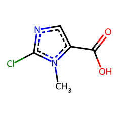 Cn1c(C(=O)O)cnc1Cl